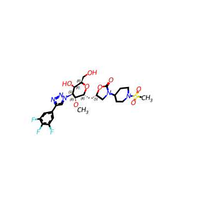 CO[C@@H]1[C@@H](n2cc(-c3cc(F)c(F)c(F)c3)nn2)[C@@H](O)[C@@H](CO)O[C@@H]1C[C@H]1CN(C2CCN(S(C)(=O)=O)CC2)C(=O)O1